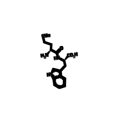 CSCC[C@@H](N)C(=O)N[C@@H](Cc1c[nH]c2ccccc12)C(=O)O